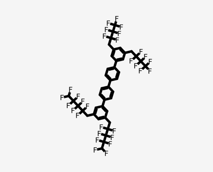 FC(F)C(F)(F)C(F)(F)C(F)(F)Cc1cc(CC(F)(F)C(F)(F)C(F)(F)C(F)F)cc(-c2ccc(-c3ccc(-c4cc(CC(F)(F)C(F)(F)C(F)(F)F)cc(CC(F)(F)C(F)(F)C(F)(F)F)c4)cc3)cc2)c1